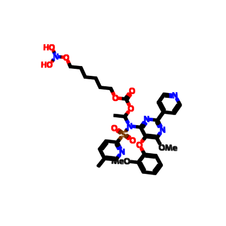 COc1ccccc1Oc1c(OC)nc(-c2ccncc2)nc1N(C(C)OC(=O)OCCCCCCON(O)O)S(=O)(=O)c1ccc(C)cn1